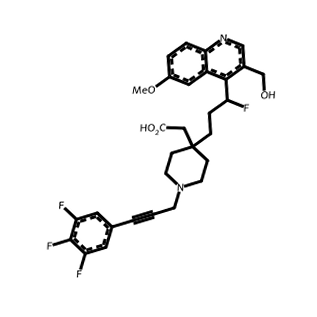 COc1ccc2ncc(CO)c(C(F)CCC3(CC(=O)O)CCN(CC#Cc4cc(F)c(F)c(F)c4)CC3)c2c1